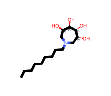 CCCCCCCCCN1C[C@@H](O)[C@@H](O)[C@H](O)[C@H](O)C1